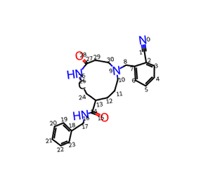 N#Cc1ccccc1CN1CCCC(C(=O)NCc2ccccc2)CCNC(=O)CC1